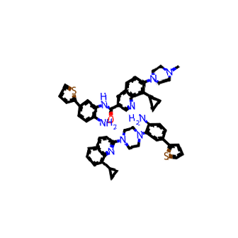 CN1CCN(c2ccc3cc(C(=O)Nc4cc(-c5cccs5)ccc4N)cnc3c2C2CC2)CC1.Nc1ccc(-c2cccs2)cc1N1CCN(c2ccc3cccc(C4CC4)c3n2)CC1